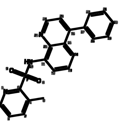 Cc1cccnc1S(=O)(=O)Nc1cccc2c(-c3ccccc3)ccnc12